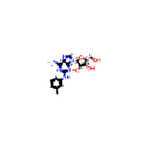 Cc1cccc(Nc2nc(N)c3ncn([C@@H]4O[C@H](CO)[C@@H](O)[C@H]4O)c3n2)c1